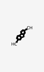 C#Cc1ccc2c(c1)[CH]c1cc(C#C)ccc1-2